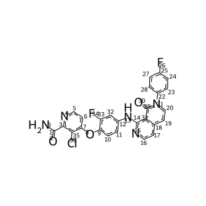 NC(=O)c1nccc(Oc2ccc(Nc3nccc4ccn(-c5ccc(F)cc5)c(=O)c34)cc2F)c1Cl